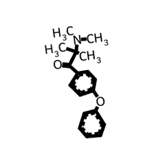 CN(C)C(C)(C)C(=O)c1ccc(Oc2ccccc2)cc1